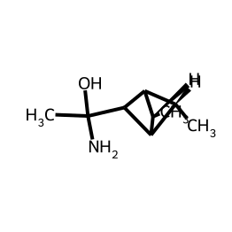 CC(N)(O)C1C2[C@H](C)C1[C@H]2C